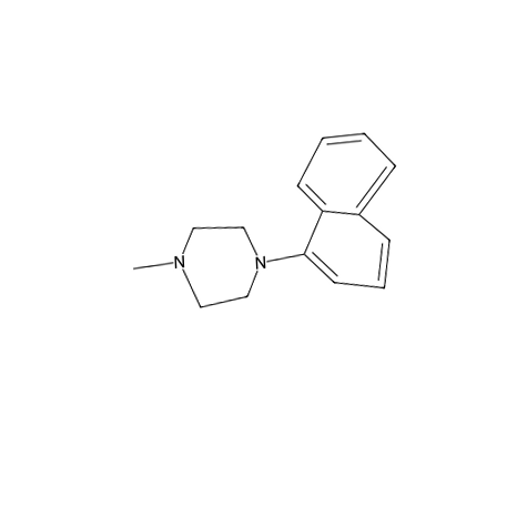 CN1CCN(c2cccc3ccccc23)CC1